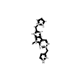 CN(Cc1cc[nH]n1)/N=C\c1c(C=O)n(C)c2nc(Cn3cccn3)sc12